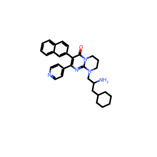 NC(CC1CCCCC1)CN1CCCn2c1nc(-c1ccncc1)c(-c1ccc3ccccc3c1)c2=O